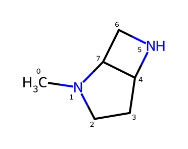 CN1CCC2NCC21